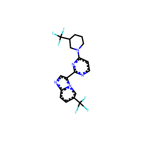 FC(F)(F)c1ccc2ncc(-c3nccc(N4CCCC(C(F)(F)F)C4)n3)n2c1